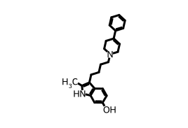 Cc1[nH]c2cc(O)ccc2c1CCCCN1CC=C(c2ccccc2)CC1